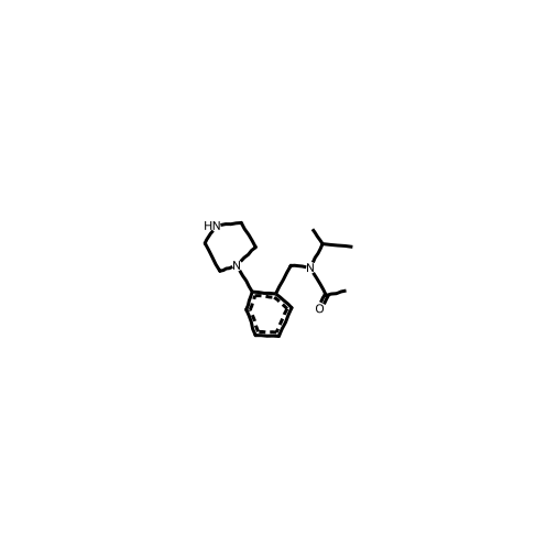 CC(=O)N(Cc1ccccc1N1CCNCC1)C(C)C